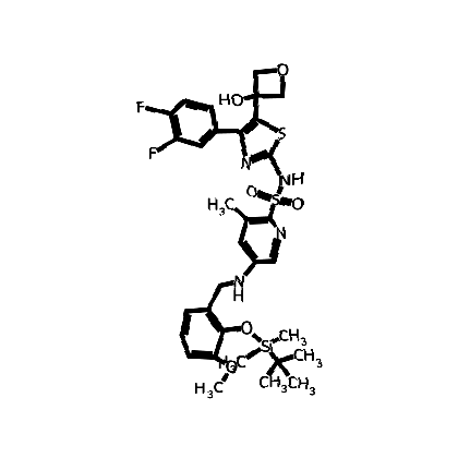 COc1cccc(CNc2cnc(S(=O)(=O)Nc3nc(-c4ccc(F)c(F)c4)c(C4(O)COC4)s3)c(C)c2)c1O[Si](C)(C)C(C)(C)C